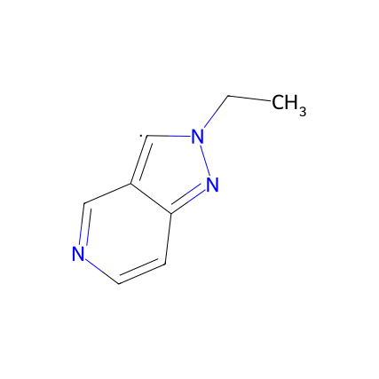 CCn1[c]c2cnccc2n1